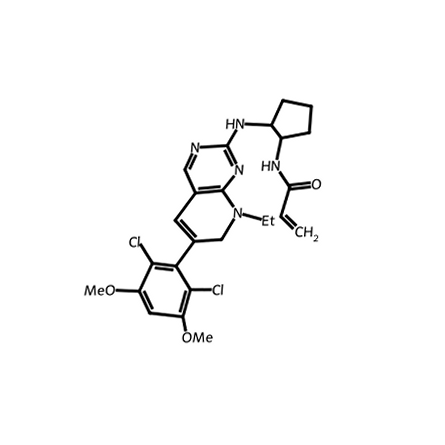 C=CC(=O)NC1CCCC1Nc1ncc2c(n1)N(CC)CC(c1c(Cl)c(OC)cc(OC)c1Cl)=C2